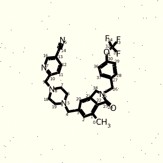 Cc1cc(CN2CCN(Cc3ccc(C#N)cn3)CC2)cc2c1C(=O)N(Cc1ccc(OC(F)(F)F)cc1)C2